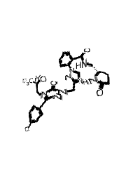 O=C1CC[C@@H](CNC(=O)c2ccccc2-n2cnc(Cn3nc(-c4ccc(Cl)cc4)n(C[C@H](O)C(F)(F)F)c3=O)n2)N1